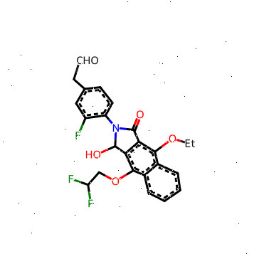 CCOc1c2c(c(OCC(F)F)c3ccccc13)C(O)N(c1ccc(CC=O)cc1F)C2=O